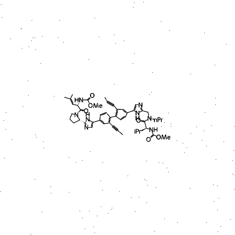 CC#Cc1cc(-c2cnc(CN(CCC)C(=O)[C@@H](NC(=O)OC)C(C)C)[nH]2)ccc1-c1ccc(-c2cnc([C@@H]3CCCN3C(=O)[C@H](C=C(C)C)NC(=O)OC)[nH]2)cc1C#CC